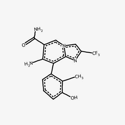 Cc1c(O)cccc1-c1c(N)c(C(N)=O)cn2cc(C(F)(F)F)nc12